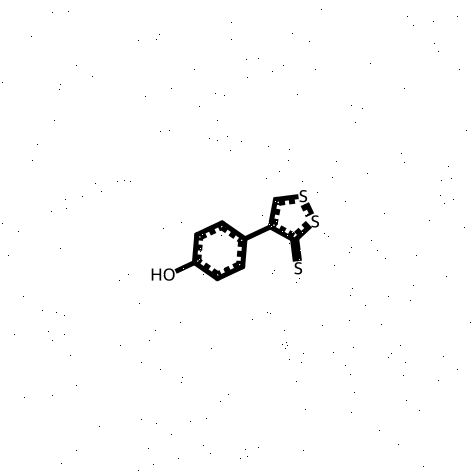 Oc1ccc(-c2cssc2=S)cc1